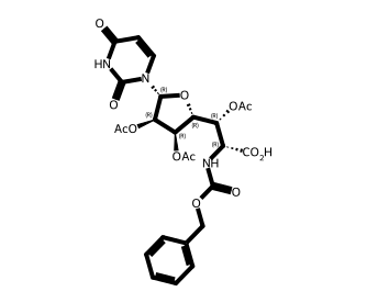 CC(=O)O[C@@H]1[C@@H]([C@H](OC(C)=O)[C@@H](NC(=O)OCc2ccccc2)C(=O)O)O[C@@H](n2ccc(=O)[nH]c2=O)[C@@H]1OC(C)=O